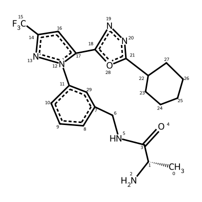 C[C@H](N)C(=O)NCc1cccc(-n2nc(C(F)(F)F)cc2-c2nnc(C3CCCCC3)o2)c1